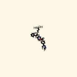 C/C=c1/nc(-c2ccccc2)c(NCCCC(O)O)n/c1=C/C(C)C(=O)N1CCC(C(/C=C\CF)=C/CC)CC1